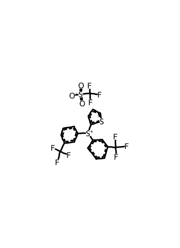 FC(F)(F)c1cccc([S+](c2cccc(C(F)(F)F)c2)c2cccs2)c1.O=S(=O)([O-])C(F)(F)F